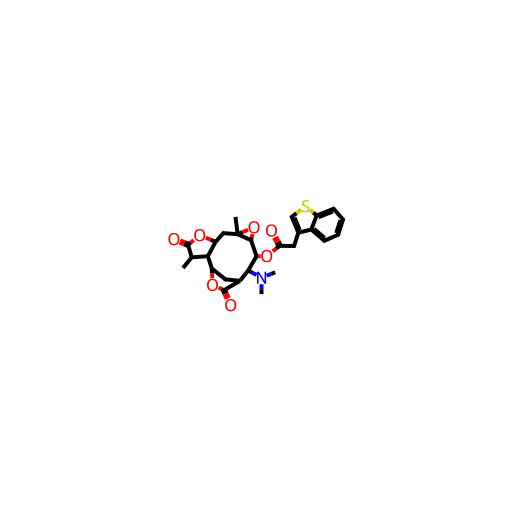 CC1C(=O)OC2CC3(C)OC3C(OC(=O)Cc3csc4ccccc34)C(N(C)C)C3CC(OC3=O)C21